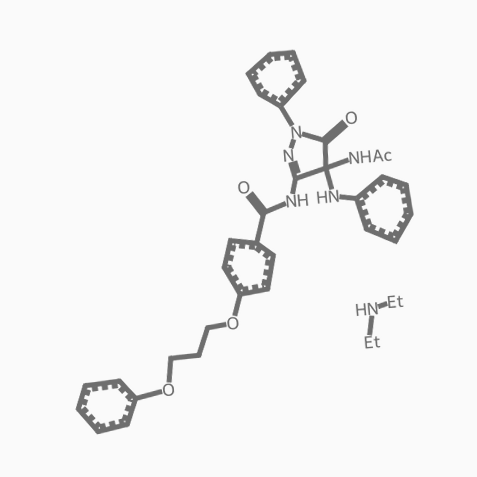 CC(=O)NC1(Nc2ccccc2)C(=O)N(c2ccccc2)N=C1NC(=O)c1ccc(OCCCOc2ccccc2)cc1.CCNCC